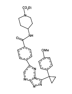 CCOC(=O)N1CCC(NC(=O)c2ccc(-c3cnc4nnc(C5(c6ccc(OC)cc6)CC5)n4n3)cc2)CC1